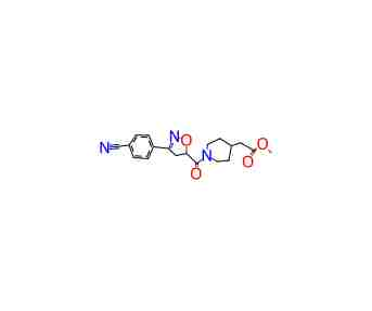 COC(=O)CC1CCN(C(=O)C2CC(c3ccc(C#N)cc3)=NO2)CC1